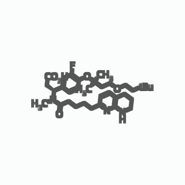 CN(C(=O)CCCCc1ccc2c(n1)NCCC2)[C@@H](CC(=O)O)c1ccc(OC(C)(C)CCOCCC(C)(C)C)c(F)c1